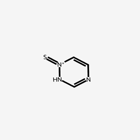 S=[n+]1ccnc[nH]1